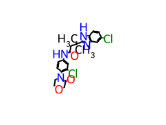 CC(C)(CC(=O)Nc1ccc(N2CCOCC2=O)c(Cl)c1)c1nc2cc(Cl)ccc2[nH]1